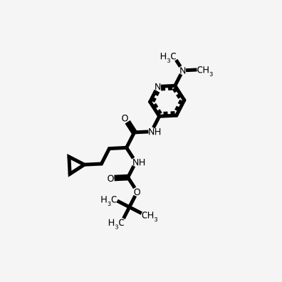 CN(C)c1ccc(NC(=O)C(CCC2CC2)NC(=O)OC(C)(C)C)cn1